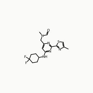 Cc1csc(-c2nc(CN(C)C=O)cc(NC3CCC(F)(F)CC3)n2)n1